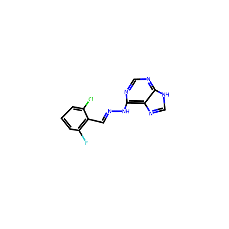 Fc1cccc(Cl)c1/C=N/Nc1ncnc2[nH]cnc12